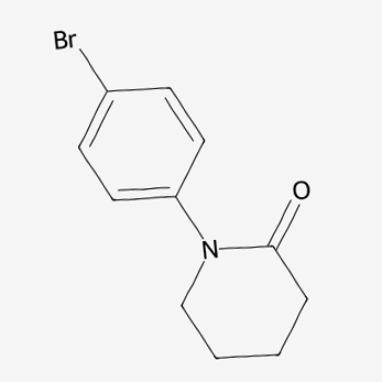 O=C1CCCCN1c1ccc(Br)cc1